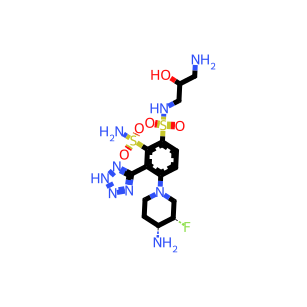 NCC(O)CNS(=O)(=O)c1ccc(N2CC[C@@H](N)[C@@H](F)C2)c(-c2nn[nH]n2)c1S(N)(=O)=O